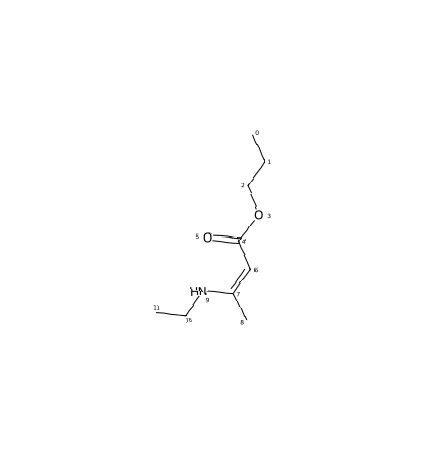 CCCOC(=O)C=C(C)NCC